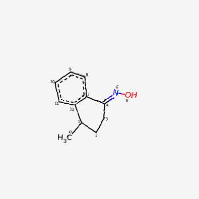 CC1CCC(=NO)c2ccccc21